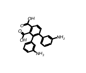 Nc1cccc(-c2ccc(C(=O)O)c(C(=O)O)c2-c2cccc(N)c2)c1